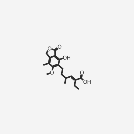 CC/C(=C\C(C)CCc1c(O)c2c(c(C)c1OC)COC2=O)C(=O)O